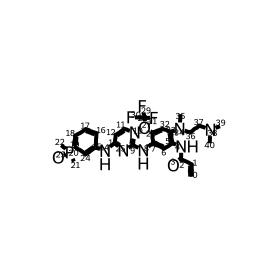 C=CC(=O)Nc1cc(Nc2nccc(Nc3cccc(P(C)(C)=O)c3)n2)c(OC(F)(F)F)cc1N(C)CCN(C)C